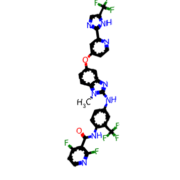 Cn1c(Nc2ccc(NC(=O)c3c(F)ccnc3F)c(C(F)(F)F)c2)nc2cc(Oc3ccnc(-c4ncc(C(F)(F)F)[nH]4)c3)ccc21